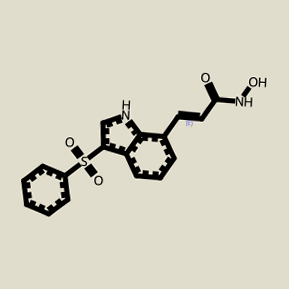 O=C(/C=C/c1cccc2c(S(=O)(=O)c3ccccc3)c[nH]c12)NO